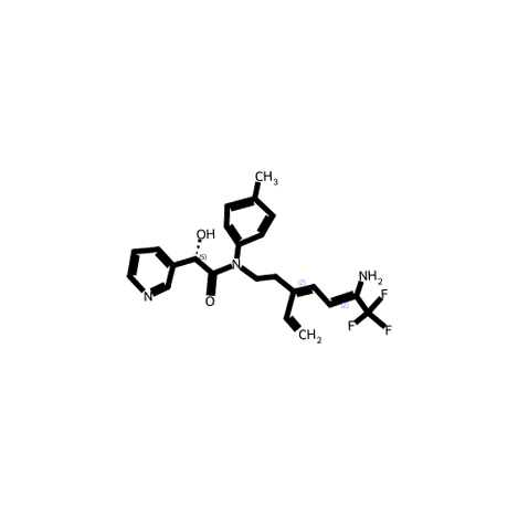 C=C/C(=C\C=C(/N)C(F)(F)F)CCN(C(=O)[C@@H](O)c1cccnc1)c1ccc(C)cc1